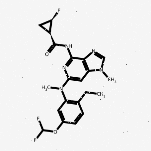 CCc1ccc(OC(F)F)cc1N(C)c1cc2c(ncn2C)c(NC(=O)[C@H]2C[C@H]2F)n1